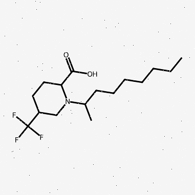 CCCCCCCC(C)N1CC(C(F)(F)F)CCC1C(=O)O